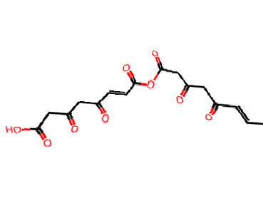 O=[C]/C=C/C(=O)CC(=O)CC(=O)OC(=O)/C=C/C(=O)CC(=O)CC(=O)O